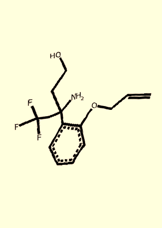 C=CCOc1ccccc1C(N)(CCO)C(F)(F)F